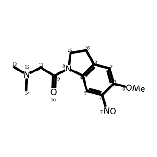 COc1cc2c(cc1N=O)N(C(=O)CN(C)C)CC2